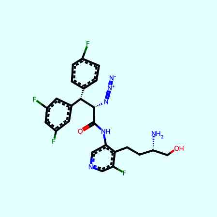 [N-]=[N+]=N[C@H](C(=O)Nc1cncc(F)c1CC[C@H](N)CO)[C@@H](c1ccc(F)cc1)c1cc(F)cc(F)c1